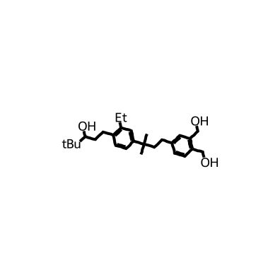 CCc1cc(C(C)(C)CCc2ccc(CO)c(CO)c2)ccc1CCC(O)C(C)(C)C